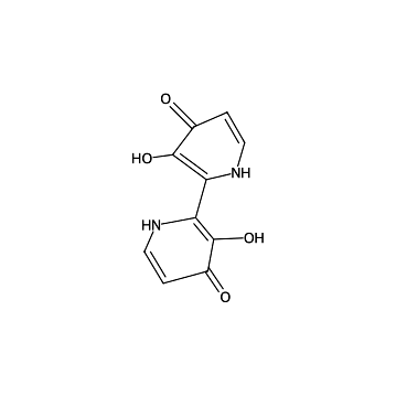 O=c1cc[nH]c(-c2[nH]ccc(=O)c2O)c1O